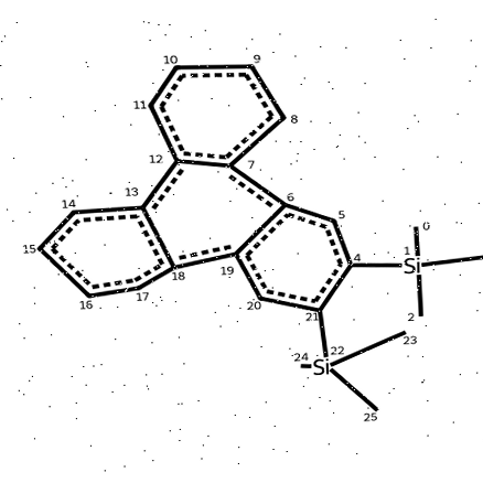 C[Si](C)(C)c1cc2c3ccccc3c3ccccc3c2cc1[Si](C)(C)C